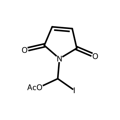 CC(=O)OC(I)N1C(=O)C=CC1=O